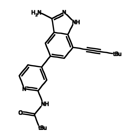 CC(C)(C)C#Cc1cc(-c2ccnc(NC(=O)C(C)(C)C)c2)cc2c(N)n[nH]c12